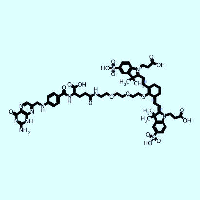 CC1(C)C(/C=C/C2=C(SCCOCCOCCNC(=O)CCC(NC(=O)c3ccc(NCc4cnc5c(=O)nc(N)[nH]c5n4)cc3)C(=O)O)C(=C/C=C3/N(CCC(=O)O)c4ccc(S(=O)(=O)O)cc4C3(C)C)/CCC2)=[N+](CCC(=O)O)c2ccc(S(=O)(=O)O)cc21